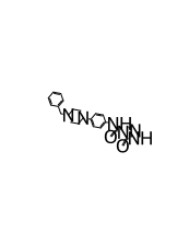 O=C(Nc1ccc(N2CCN(Cc3ccccc3)CC2)cc1)n1cn[nH]c1=O